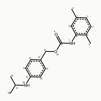 Cc1ccc(C)c(NC(=O)OCc2ccc(NC(C)C)cc2)c1